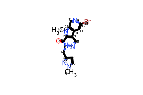 Cn1ccc(Cn2ncc3c4cc(Br)ncc4n(C)c3c2=O)n1